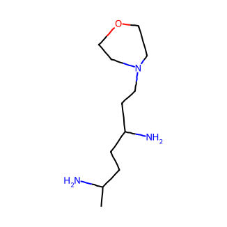 CC(N)CCC(N)CCN1CCOCC1